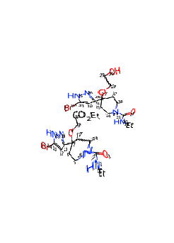 CCNC(=O)N1CCC(OCC(=O)OCC)(c2cc(Br)[nH]n2)CC1.CCNC(=O)N1CCC(OCCO)(c2cc(Br)[nH]n2)CC1